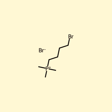 C[P+](C)(C)CCCCBr.[Br-]